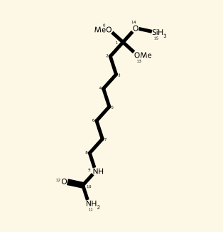 COC(CCCCCCCNC(N)=O)(OC)O[SiH3]